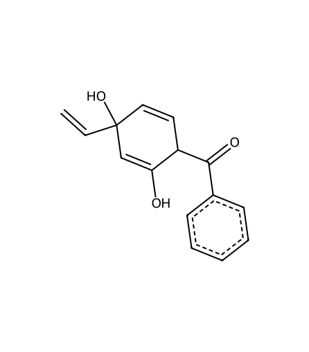 C=CC1(O)C=CC(C(=O)c2ccccc2)C(O)=C1